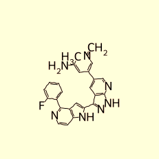 C=N/C=C(\C=C(/C)N)c1cnc2[nH]nc(-c3cc4c(-c5ccccc5F)nccc4[nH]3)c2c1